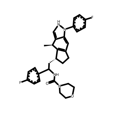 C[C@H]1C2=CNN(c3ccc(F)cc3)C2=CC2=C1[C@@H](CC(NC(=O)N1CCOCC1)c1ccc(F)cc1)CC2